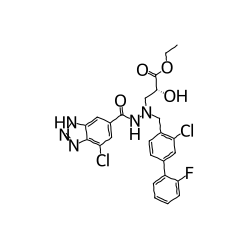 CCOC(=O)[C@H](O)CN(Cc1ccc(-c2ccccc2F)cc1Cl)NC(=O)c1cc(Cl)c2nn[nH]c2c1